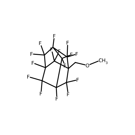 COCC12C(F)(F)C3(F)C(F)(F)C(F)(C(F)(F)C(F)(C3(F)F)C1(F)F)C2(F)F